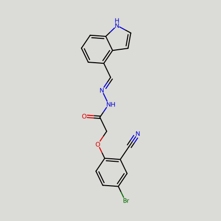 N#Cc1cc(Br)ccc1OCC(=O)NN=Cc1cccc2[nH]ccc12